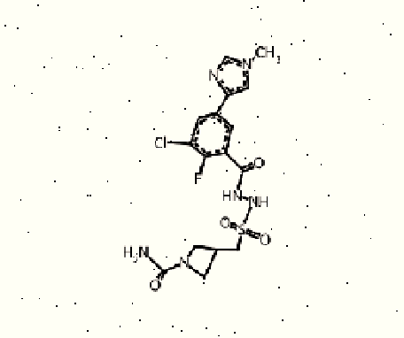 Cn1cnc(-c2cc(Cl)c(F)c(C(=O)NNS(=O)(=O)CC3CN(C(N)=O)C3)c2)c1